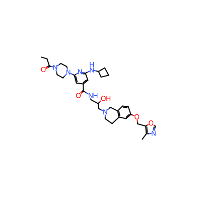 CCC(=O)N1CCN(c2cc(C(=O)NCC(O)CN3CCc4cc(OCc5ocnc5C)ccc4C3)cc(NC3CCC3)n2)CC1